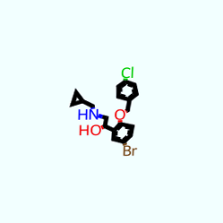 OC(CNCC1CC1)c1cc(Br)ccc1OCc1ccc(Cl)cc1